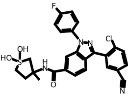 CC1(NC(=O)c2ccc3c(-c4cc(C#N)ccc4Cl)nn(-c4ccc(F)cc4)c3c2)CCS(O)(O)C1